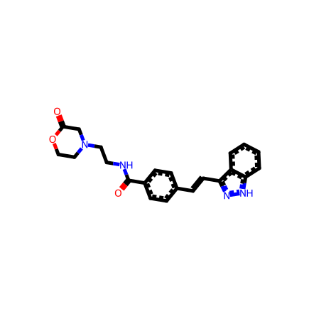 O=C1CN(CCNC(=O)c2ccc(C=Cc3n[nH]c4ccccc34)cc2)CCO1